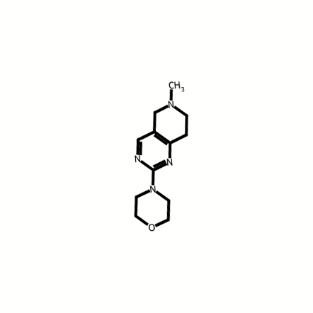 CN1CCc2nc(N3CCOCC3)ncc2C1